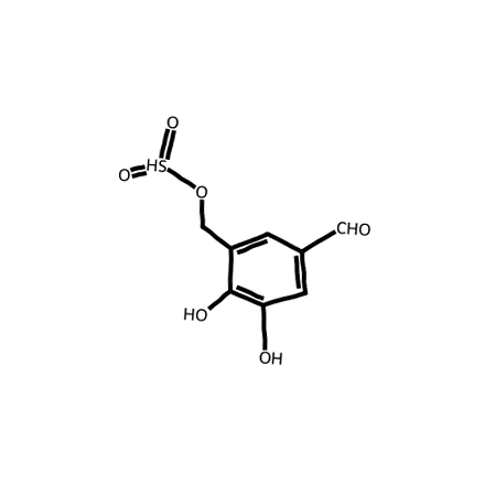 O=Cc1cc(O)c(O)c(CO[SH](=O)=O)c1